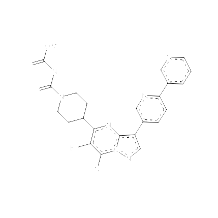 COC(=O)NC(=O)N1CCC(c2nc3c(-c4ccc(-c5cccnc5)nc4)cnn3c(N)c2Br)CC1